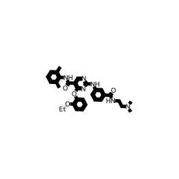 CCOc1ccccc1Oc1nc(Nc2cccc(C(=O)NCCN(C)C)c2)ncc1C(=O)Nc1c(C)cccc1C